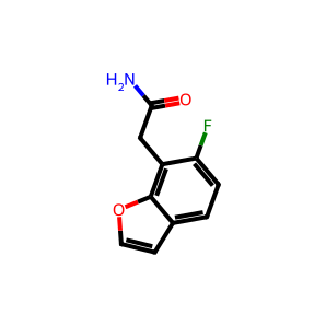 NC(=O)Cc1c(F)ccc2ccoc12